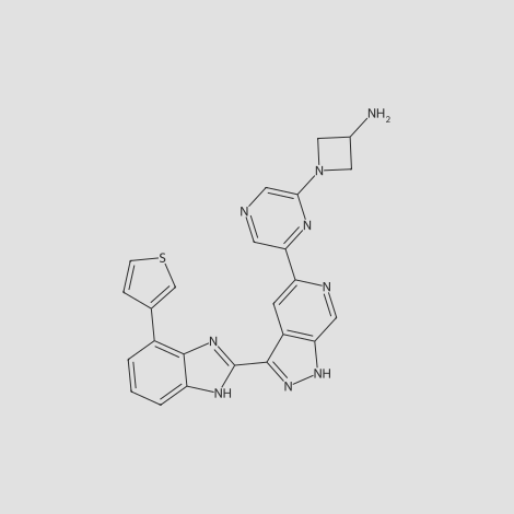 NC1CN(c2cncc(-c3cc4c(-c5nc6c(-c7ccsc7)cccc6[nH]5)n[nH]c4cn3)n2)C1